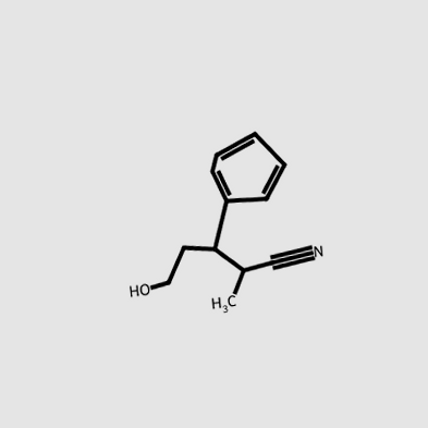 CC(C#N)C(CCO)c1ccccc1